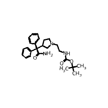 CC(C)(C)OC(=O)NCCN1CCC(C(C(N)=O)(c2ccccc2)c2ccccc2)C1